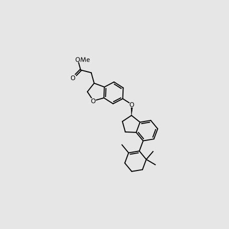 COC(=O)CC1COc2cc(O[C@@H]3CCc4c(C5=C(C)CCCC5(C)C)cccc43)ccc21